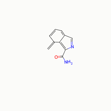 C=c1cccc2c1=C(C(N)=O)N=C2